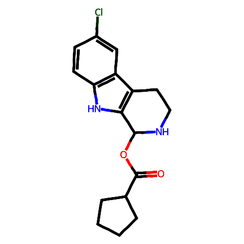 O=C(OC1NCCc2c1[nH]c1ccc(Cl)cc21)C1CCCC1